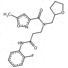 Cc1cc(C(=O)N(CCC(=O)Nc2ccccc2F)CC2CCCO2)no1